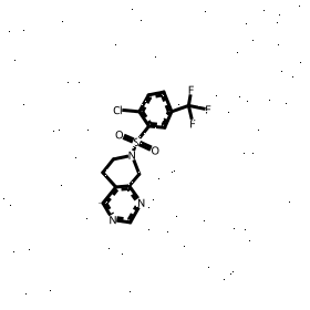 O=S(=O)(c1cc(C(F)(F)F)ccc1Cl)N1CCc2[c]ncnc2C1